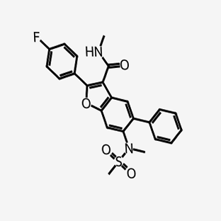 CNC(=O)c1c(-c2ccc(F)cc2)oc2cc(N(C)S(C)(=O)=O)c(-c3ccccc3)cc12